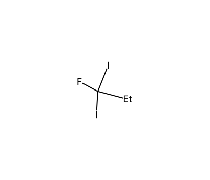 CCC(F)(I)I